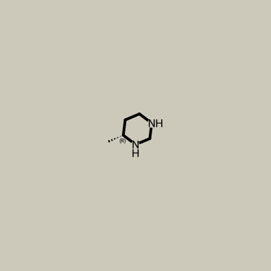 C[C@@H]1CCNCN1